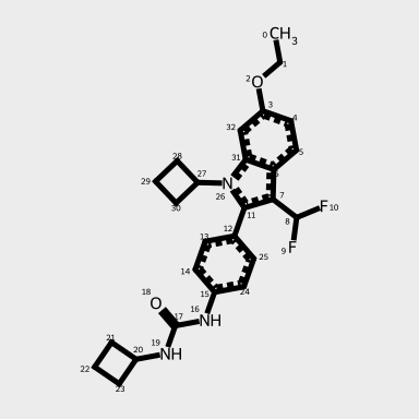 CCOc1ccc2c(C(F)F)c(-c3ccc(NC(=O)NC4CCC4)cc3)n(C3CCC3)c2c1